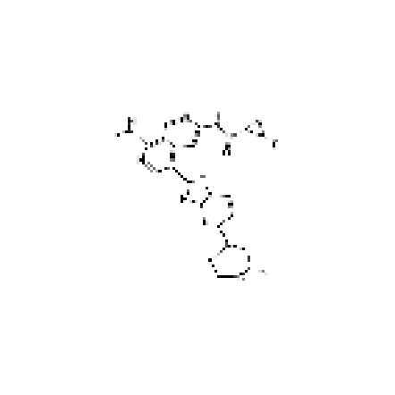 CNc1ncc(-c2nc3cc(N4CCO[C@@H](C)C4)ccc3o2)c2cc(NC(=O)[C@@H]3C[C@@H]3F)ncc12